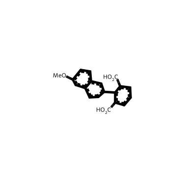 COc1ccc2cc(-c3c(C(=O)O)cccc3C(=O)O)ccc2c1